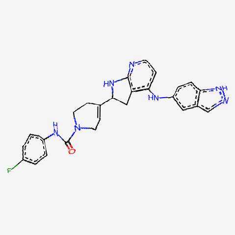 O=C(Nc1ccc(F)cc1)N1CC=C(C2Cc3c(Nc4ccc5[nH]ncc5c4)ccnc3N2)CC1